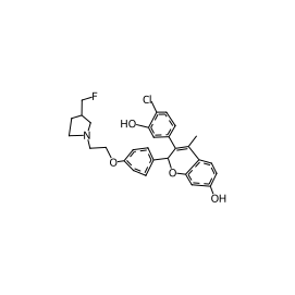 CC1=C(c2ccc(Cl)c(O)c2)C(c2ccc(OCCN3CCC(CF)C3)cc2)Oc2cc(O)ccc21